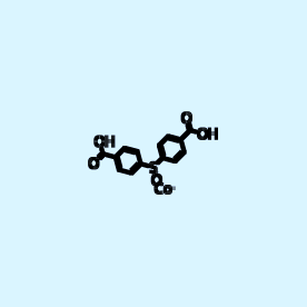 O=C(O)c1ccc(S(=O)c2ccc(C(=O)O)cc2)cc1.[Co]